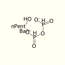 CCCCCO.O=[PH]([O-])O[PH](=O)[O-].[Ba+2]